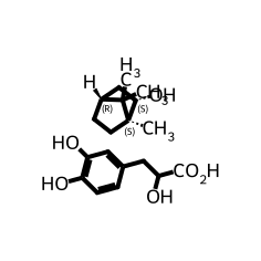 CC1(C)[C@@H]2CC[C@]1(C)[C@@H](O)C2.O=C(O)C(O)Cc1ccc(O)c(O)c1